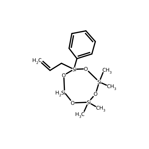 C=CC[Si]1(c2ccccc2)O[SiH2]O[Si](C)(C)O[Si](C)(C)O1